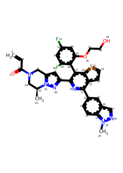 C=CC(=O)N1Cc2cc(-c3nc(-c4ccc5c(cnn5C)c4)c4ccsc4c3-c3c(F)cc(F)cc3OCCO)nn2[C@@H](C)C1